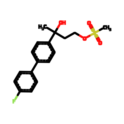 CC(O)(CCOS(C)(=O)=O)c1ccc(-c2ccc(F)cc2)cc1